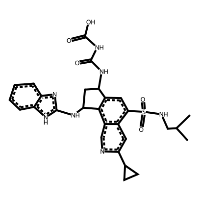 CC(C)CNS(=O)(=O)c1cc2c(c3cnc(C4CC4)cc13)C(Nc1nc3ccccc3[nH]1)CC2NC(=O)NC(=O)O